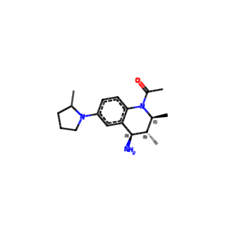 CC(=O)N1c2ccc(N3CCCC3C)cc2[C@H](N)[C@@H](C)[C@@H]1C